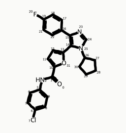 O=C(Nc1ccc(Cl)cc1)c1ccc(-c2c(-c3ccc(F)cc3)ncn2C2CCCC2)o1